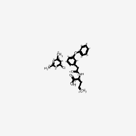 CCCC(NC(=O)Cc1cccc(Oc2ccccc2)c1)C(=O)O.Cc1cc(Cl)nc(N)n1